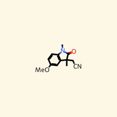 COc1ccc2c(c1)C(C)(CC#N)C(=O)N2C